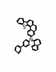 c1ccc(-c2ccc(N(c3ccc4c(ccc5ccc6c7ccccc7sc6c54)c3)c3cccc4ccccc34)cc2)cc1